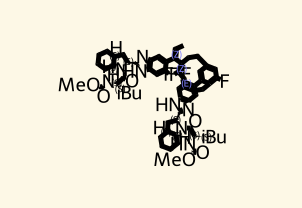 C\C=C(/C1=C(F)/C=C/CCc2c(F)cc(cc2-c2cc3nc([C@@H]4C[C@@H]5CCCC[C@@H]5N4C(=O)[C@@H](NC(=O)OC)[C@@H](C)CC)[nH]c3cc2F)CC1)c1cc2nc([C@@H]3C[C@@H]4CCCC[C@@H]4N3C(=O)[C@@H](NC(=O)OC)[C@@H](C)CC)[nH]c2cc1F